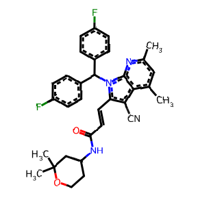 Cc1cc(C)c2c(C#N)c(C=CC(=O)NC3CCOC(C)(C)C3)n(C(c3ccc(F)cc3)c3ccc(F)cc3)c2n1